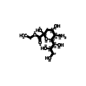 CCOC(=O)[C@]1(O)C[C@H](O)[C@@H](N)[C@H]([C@H](O)[C@H](O)CO)O1